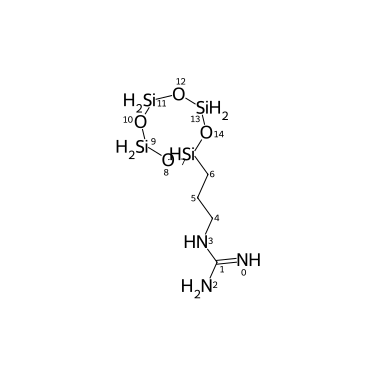 N=C(N)NCCC[SiH]1O[SiH2]O[SiH2]O[SiH2]O1